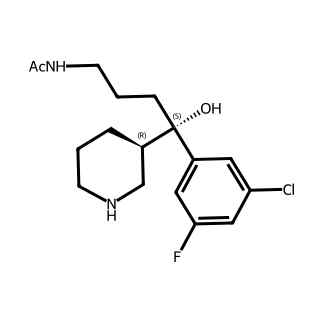 CC(=O)NCCC[C@@](O)(c1cc(F)cc(Cl)c1)[C@@H]1CCCNC1